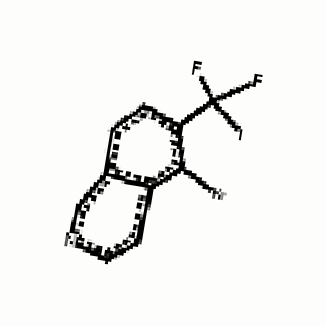 FC(F)(F)c1ccc2cnccc2c1Br